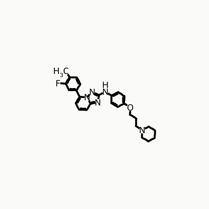 Cc1ccc(-c2cccc3nc(Nc4ccc(OCCCN5CCCCC5)cc4)nn23)cc1F